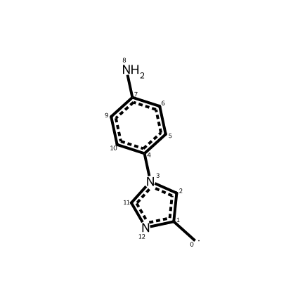 [CH2]c1cn(-c2ccc(N)cc2)cn1